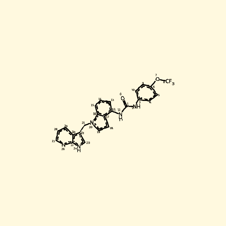 O=C(Nc1ccc(OC(F)(F)F)cc1)Nc1cccc2c1ccn2Cc1c[nH]c2ncccc12